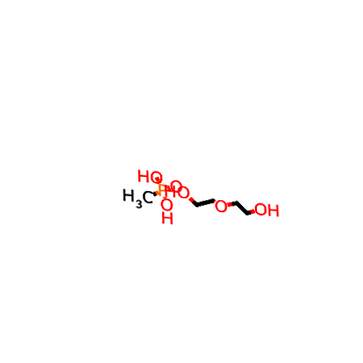 CP(=O)(O)O.OCCOCCO